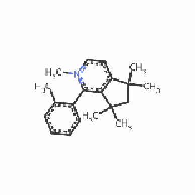 Cc1ccccc1-c1c2c(cc[n+]1C)C(C)(C)CC2(C)C